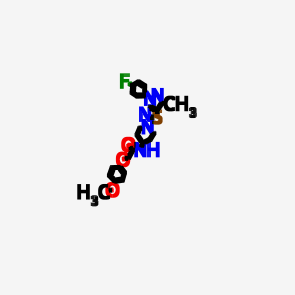 COc1ccc(OCC(=O)NC2CCN(c3nc4c(s3)c(C)nn4-c3ccc(F)cc3)CC2)cc1